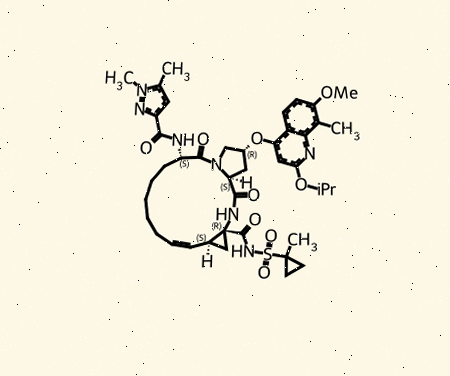 COc1ccc2c(O[C@@H]3C[C@H]4C(=O)N[C@]5(C(=O)NS(=O)(=O)C6(C)CC6)C[C@H]5C=CCCCCC[C@H](NC(=O)c5cc(C)n(C)n5)C(=O)N4C3)cc(OC(C)C)nc2c1C